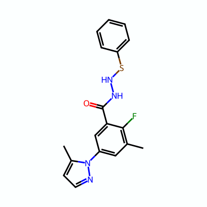 Cc1cc(-n2nccc2C)cc(C(=O)NNSc2ccccc2)c1F